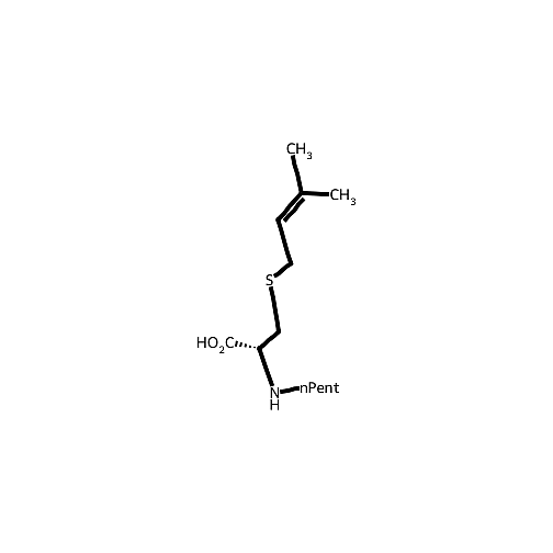 CCCCCN[C@@H](CSCC=C(C)C)C(=O)O